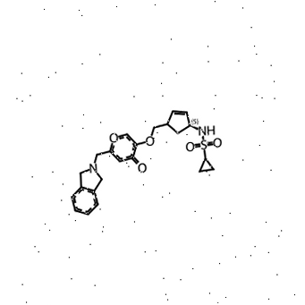 O=c1cc(CN2Cc3ccccc3C2)occ1OCC1C=C[C@@H](NS(=O)(=O)C2CC2)C1